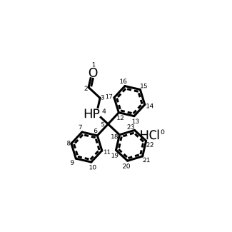 Cl.O=CCPC(c1ccccc1)(c1ccccc1)c1ccccc1